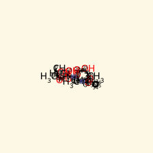 CC[C@H](O)[C@@H](C)[C@H]1O[C@@H]1C[C@H](C)C(O)C(O)/C=C(\C)[C@H]1OC(=O)C[C@H](O)CC[C@@]2(C)OC(c3ccccc3)O[C@H]2/C=C/[C@@H]1C